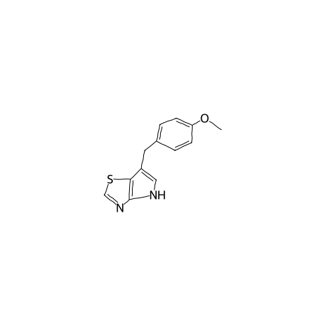 COc1ccc(Cc2c[nH]c3ncsc23)cc1